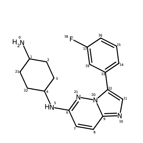 NC1CCC(Nc2ccc3ncc(-c4cccc(F)c4)n3n2)CC1